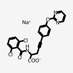 O=C(NC(CC#Cc1ccc(Oc2ncccn2)cc1)C(=O)[O-])c1c(Cl)cccc1Cl.[Na+]